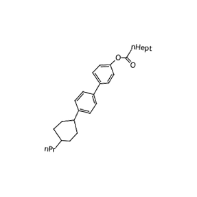 CCCCCCCC(=O)Oc1ccc(-c2ccc(C3CCC(CCC)CC3)cc2)cc1